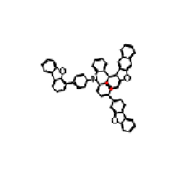 c1ccc(N(c2ccc(-c3ccc4c(c3)oc3ccccc34)cc2)c2ccc(-c3cccc4c3oc3ccccc34)cc2)c(-c2cccc3oc4cc5ccccc5cc4c23)c1